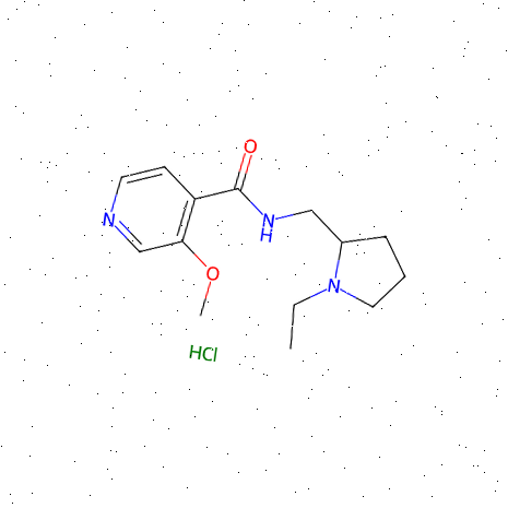 CCN1CCCC1CNC(=O)c1ccncc1OC.Cl